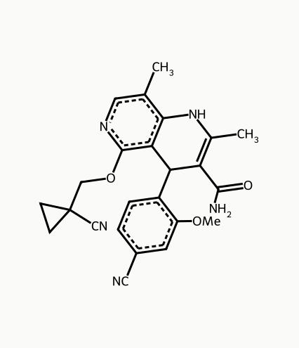 COc1cc(C#N)ccc1C1C(C(N)=O)=C(C)Nc2c(C)cnc(OCC3(C#N)CC3)c21